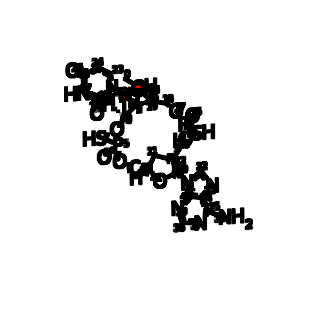 CO[C@H]1[C@H]2OP(=O)(S)OC[C@@H]3C[C@@H](OP(=O)(S)OC[C@H]1O[C@H]2n1ccc(=O)[nH]c1=O)[C@H](n1cnc2c(N)ncnc21)O3